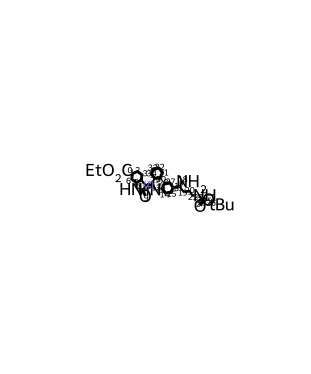 CCOC(=O)c1ccc2c(c1)NC(=O)/C2=C(\Nc1ccc(C(N)CCCNC(=O)OC(C)(C)C)cc1)c1ccccc1